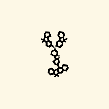 CC1(C)c2ccccc2-c2cc(N(C3=Cc4sc5cc(-c6c7c(cc8ccccc68)C(C)(C)c6ccccc6-7)ccc5c4CC3)c3ccc4c(c3)C3C=CC=CC3C4(C)C)ccc21